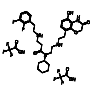 O=C(O)C(F)(F)F.O=C(O)C(F)(F)F.O=C1COc2c(CCNCCN(C(=O)CCNCCc3cccc(F)c3F)C3CCCCC3)ccc(O)c2N1